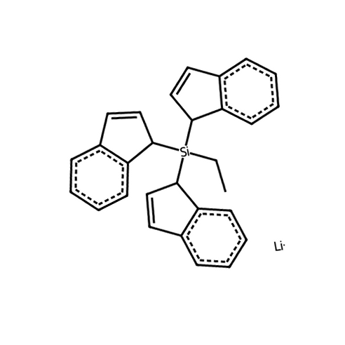 CC[Si](C1C=Cc2ccccc21)(C1C=Cc2ccccc21)C1C=Cc2ccccc21.[Li]